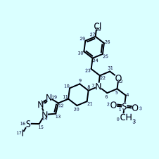 CS(=O)(=O)CC1CN(C2CCC(c3cn(CSI)nn3)CC2)C(Cc2ccc(Cl)cc2)CO1